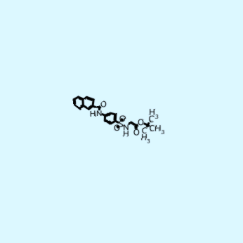 CC(C)(C)OC(=O)CNS(=O)(=O)c1ccc(NC(=O)c2ccc3ccccc3c2)cc1